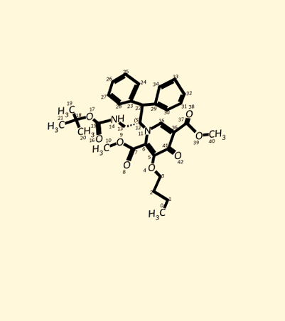 CCCCOc1c(C(=O)OC)n([C@H](CNC(=O)OC(C)(C)C)C(c2ccccc2)c2ccccc2)cc(C(=O)OC)c1=O